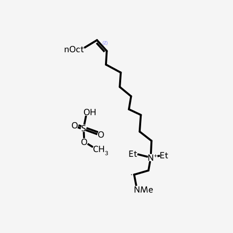 CCCCCCCC/C=C\CCCCCCCC[N+](CC)(CC)C[CH]NC.COS(=O)(=O)O